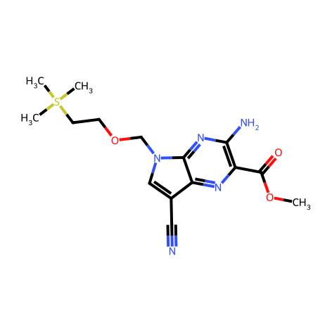 COC(=O)c1nc2c(C#N)cn(COCCS(C)(C)C)c2nc1N